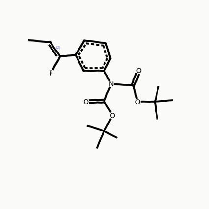 C/C=C(\F)c1cccc(N(C(=O)OC(C)(C)C)C(=O)OC(C)(C)C)c1